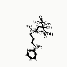 CCN(CCCN(CC)c1ccccn1)CCC(O)(P(=O)(O)O)P(=O)(O)O